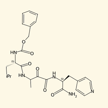 CC(C)C[C@H](NC(=O)OCc1ccccc1)C(=O)NC(C)C(=O)C(=O)N[C@@H](Cc1ccncc1)C(N)=O